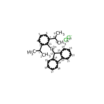 CC(C)c1cccc(C(C)C)[c]1[Ti+2][CH]1c2ccccc2-c2ccccc21.[Cl-].[Cl-]